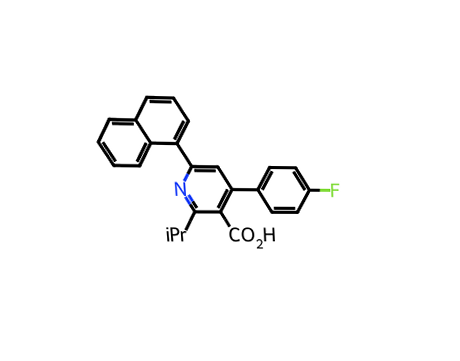 CC(C)c1nc(-c2cccc3ccccc23)cc(-c2ccc(F)cc2)c1C(=O)O